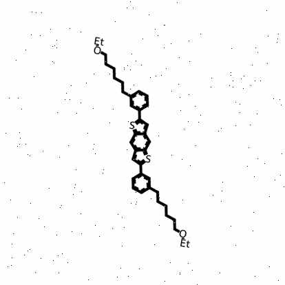 CCOCCCCCCc1cccc(-c2cc3cc4sc(-c5cccc(CCCCCCOCC)c5)cc4cc3s2)c1